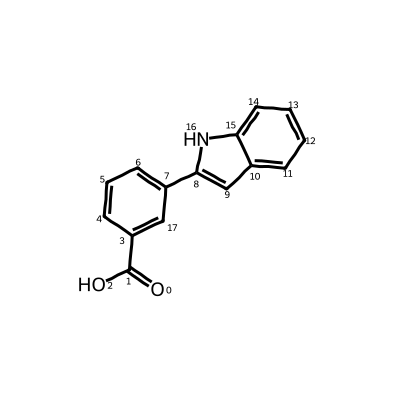 O=C(O)c1cccc(-c2cc3ccccc3[nH]2)c1